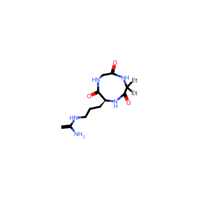 C=C(N)NCCC[C@@H]1NC(=O)C(CC)(CC)NC(=O)CNC1=O